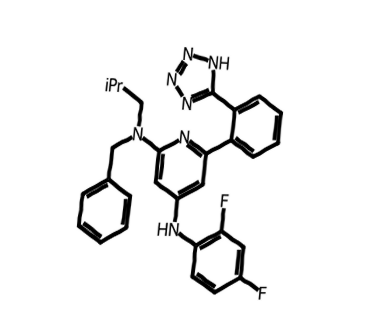 CC(C)CN(Cc1ccccc1)c1cc(Nc2ccc(F)cc2F)cc(-c2ccccc2-c2nnn[nH]2)n1